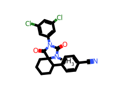 CN1C(=O)N(c2cc(Cl)cc(Cl)c2)C(=O)C12CCCCC2c1ccc(C#N)cc1